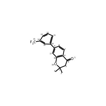 CC1(C)CC(=O)c2ccc(-c3cccc(C(F)(F)F)c3)cc2O1